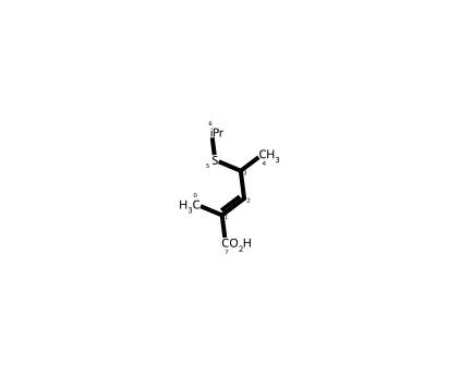 C/C(=C\C(C)SC(C)C)C(=O)O